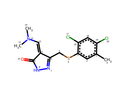 Cc1cc(SCC2=NNC(=O)/C2=C\N(C)C)c(Cl)cc1Cl